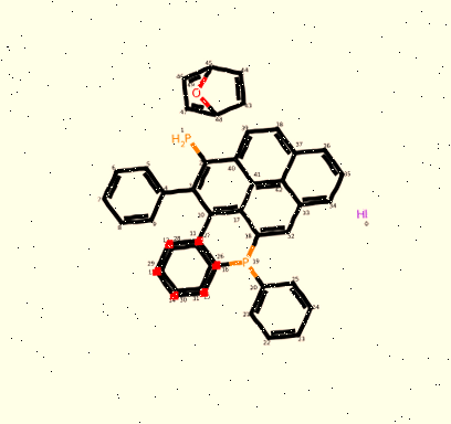 I.Pc1c(-c2ccccc2)c(-c2ccccc2)c2c(P(c3ccccc3)c3ccccc3)cc3cccc4ccc1c2c43.c1cc2ccc1o2